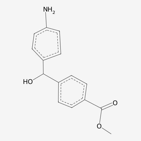 COC(=O)c1ccc(C(O)c2ccc(N)cc2)cc1